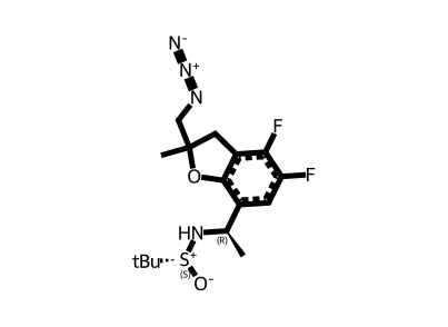 C[C@@H](N[S@+]([O-])C(C)(C)C)c1cc(F)c(F)c2c1OC(C)(CN=[N+]=[N-])C2